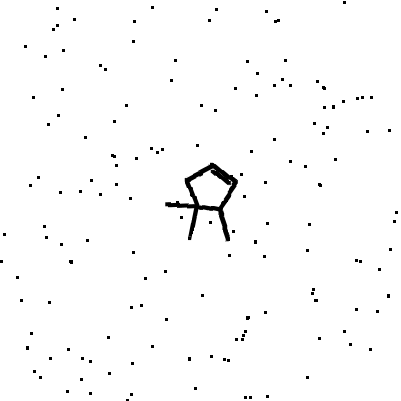 C[C]1C=CCC1(C)C